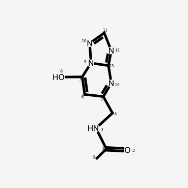 CC(=O)NCc1cc(O)n2ncnc2n1